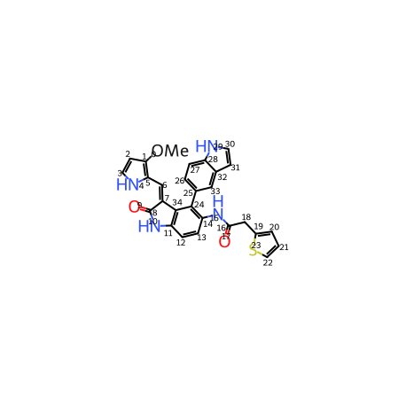 COc1cc[nH]c1C=C1C(=O)Nc2ccc(NC(=O)Cc3cccs3)c(-c3ccc4[nH]ccc4c3)c21